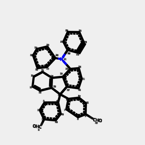 O=Cc1ccc(C2(c3ccc(C=O)cc3)C3=C(CCC=C3)c3c(N(c4c#cccc4)c4ccccc4)cccc32)cc1